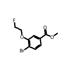 COC(=O)c1ccc(Br)c(OCCF)c1